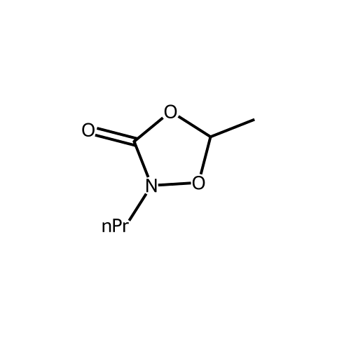 CCCN1OC(C)OC1=O